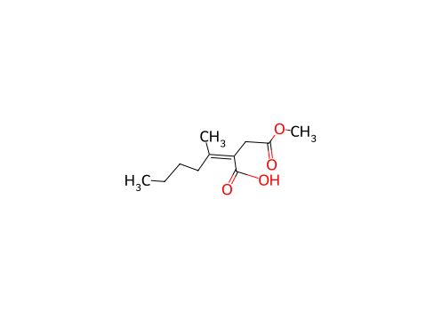 CCCC/C(C)=C(/CC(=O)OC)C(=O)O